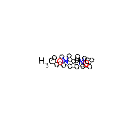 Cc1ccccc1-c1cccc2c1oc1c(N(c3ccccc3)c3cc4c(c5ccccc35)-c3c(cc(N(c5ccccc5)c5cccc6c5oc5c(-c7ccccc7C)cccc56)c5ccccc35)C43c4ccccc4-c4ccccc43)cccc12